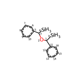 [SiH3]C(OC([SiH3])c1ccccc1)c1ccccc1